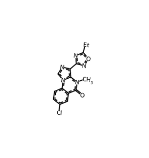 CCc1nc(-c2ncn3c4ccc(Cl)cc4c(=O)n(C)c23)no1